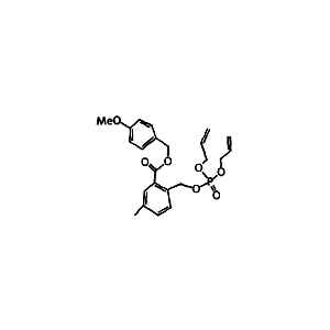 C=CCOP(=O)(OCC=C)OCc1ccc(C)cc1C(=O)OCc1ccc(OC)cc1